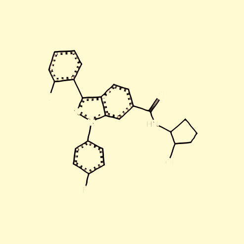 O=C(NC1CCCC1O)c1ccc2c(-c3ccccc3Cl)nn(-c3ccc(F)cc3)c2c1